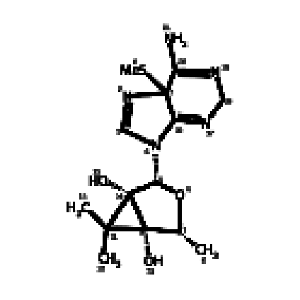 CSC12N=CN([C@@H]3O[C@H](C)[C@@]4(O)C(C)(C)[C@@]34O)C1=NCN=C2N